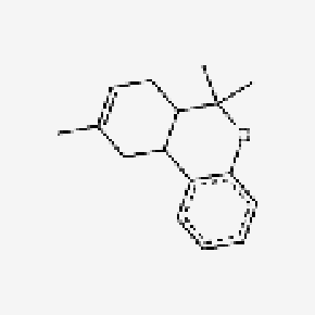 CC1=CCC2C(C1)c1ccccc1OC2(C)C